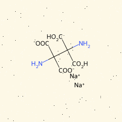 NC(C(=O)[O-])(C(=O)[O-])C(N)(C(=O)O)C(=O)O.[Na+].[Na+]